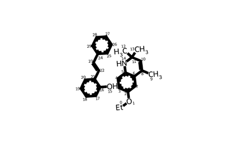 CCOc1ccc2c(c1)C(C)=CC(C)(C)N2.Oc1ccccc1C=Cc1ccccc1